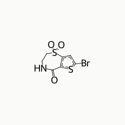 O=C1NCCS(=O)(=O)c2cc(Br)sc21